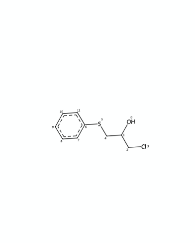 OC(CCl)CSc1ccccc1